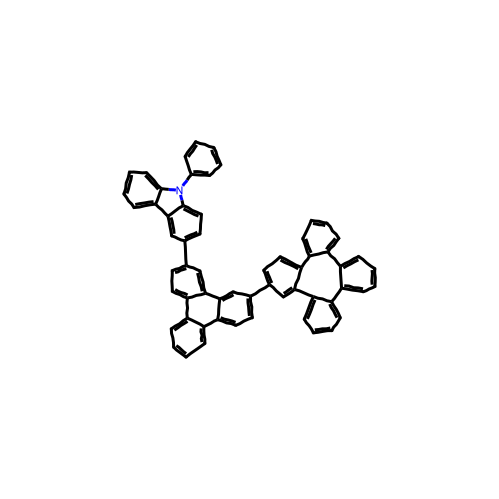 c1ccc(-n2c3ccccc3c3cc(-c4ccc5c6ccccc6c6ccc(-c7ccc8c(c7)-c7ccccc7-c7ccccc7-c7ccccc7-8)cc6c5c4)ccc32)cc1